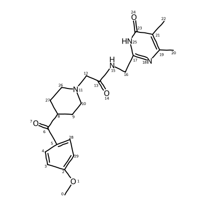 COc1ccc(C(=O)C2CCN(CC(=O)NCc3nc(C)c(C)c(=O)[nH]3)CC2)cc1